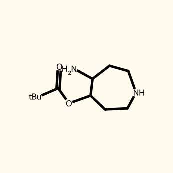 CC(C)(C)C(=O)OC1CCNCCC1N